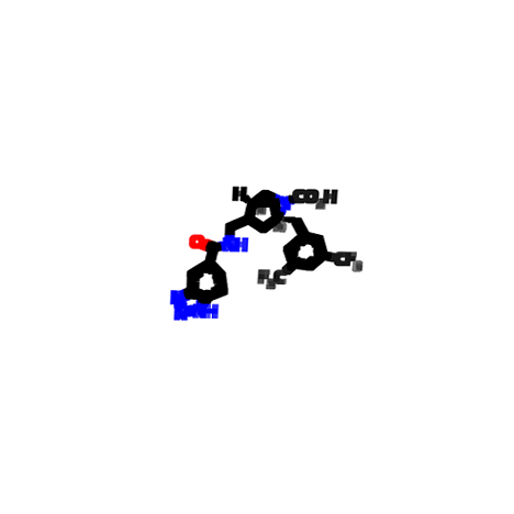 O=C(NCC1C[C@@]2(Cc3cc(C(F)(F)F)cc(C(F)(F)F)c3)C[C@@H]1CN2C(=O)O)c1ccc2[nH]nnc2c1